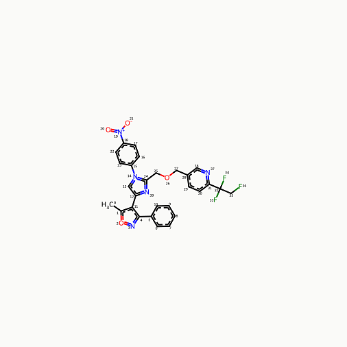 Cc1onc(-c2ccccc2)c1-c1cn(-c2ccc([N+](=O)[O-])cc2)c(COCc2ccc(C(F)(F)CF)nc2)n1